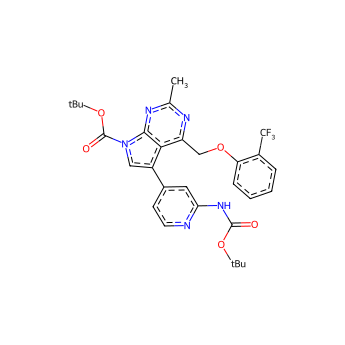 Cc1nc(COc2ccccc2C(F)(F)F)c2c(-c3ccnc(NC(=O)OC(C)(C)C)c3)cn(C(=O)OC(C)(C)C)c2n1